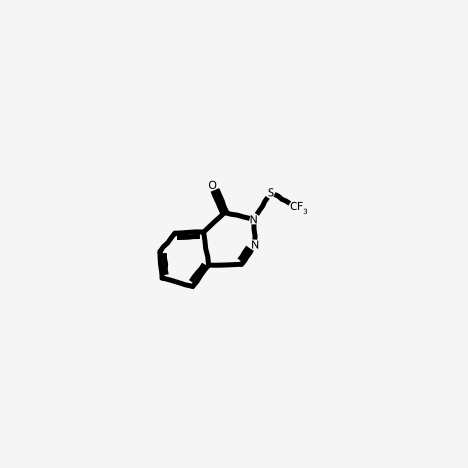 O=c1c2ccccc2cnn1SC(F)(F)F